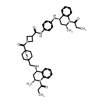 CCC(=O)N1c2ccccc2[C@H](NCC23CCC(C(=O)N4CC(C(=O)Nc5ccc(N[C@@H]6C[C@H](C)N(C(=O)CC)c7ccccc76)cc5)C4)(CC2)CC3)C[C@@H]1C